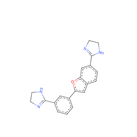 c1cc(C2=NCCN2)cc(-c2cc3ccc(C4=NCCN4)cc3o2)c1